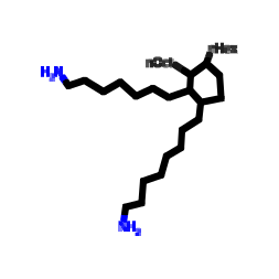 CCCCCCCCC1C(CCCCCC)CCC(CCCCCCCCN)C1CCCCCCCN